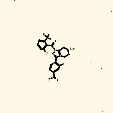 O=C([O-])c1ccc(-c2nn(C(=O)c3c(Cl)cccc3C(F)(F)F)c3c2CCCC3)c(F)c1.[Na+]